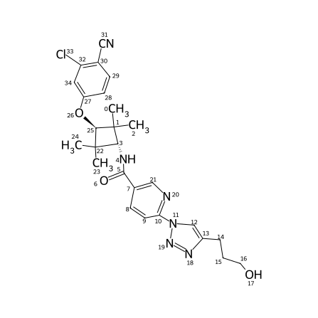 CC1(C)[C@H](NC(=O)c2ccc(-n3cc(CCCO)nn3)nc2)C(C)(C)[C@H]1Oc1ccc(C#N)c(Cl)c1